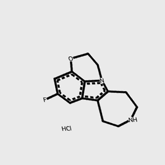 Cl.Fc1cc2c3c(c1)c1c(n3CCO2)CCNCC1